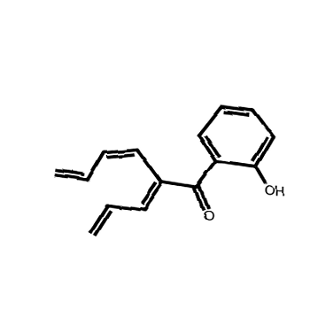 C=C/C=C\C(=C/C=C)C(=O)c1ccccc1O